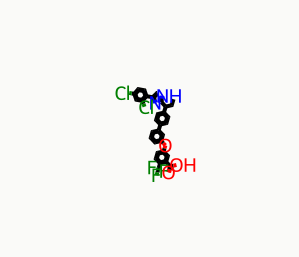 CCC(c1ccc(-c2cccc(Oc3ccc(C(F)(F)F)c(C(=O)O)c3)c2)cc1)c1nc(-c2ccc(Cl)cc2Cl)c[nH]1